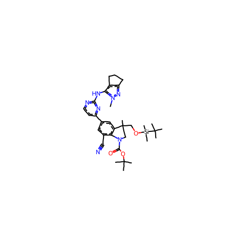 Cn1nc2c(c1Nc1nccc(-c3cc(C#N)c4c(c3)C(C)(CO[Si](C)(C)C(C)(C)C)CN4C(=O)OC(C)(C)C)n1)CCC2